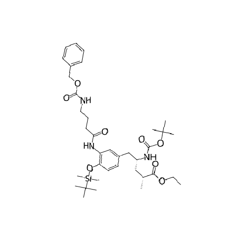 CCOC(=O)[C@H](C)C[C@H](Cc1ccc(O[Si](C)(C)C(C)(C)C)c(NC(=O)CCCNC(=O)OCc2ccccc2)c1)NC(=O)OC(C)(C)C